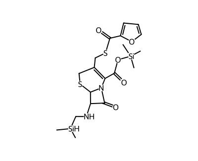 C[SiH](C)CNC1C(=O)N2C(C(=O)O[Si](C)(C)C)=C(CSC(=O)c3ccco3)CSC12